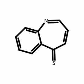 S=c1cccnc2ccccc12